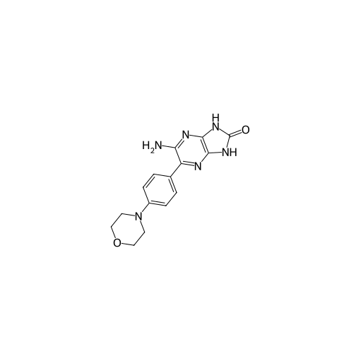 Nc1nc2[nH]c(=O)[nH]c2nc1-c1ccc(N2CCOCC2)cc1